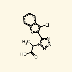 CC(C(=O)O)n1nnnc1-c1sc2ccccc2c1Cl